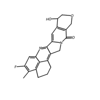 Cc1c(F)cc2nc3c(c4c2c1CCC4)Cn1c-3cc2c(c1=O)COCC2O